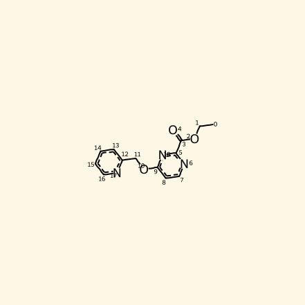 CCOC(=O)c1nccc(OCc2ccccn2)n1